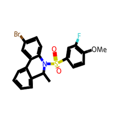 COc1ccc(S(=O)(=O)N2c3ccc(Br)cc3-c3ccccc3C2C)cc1F